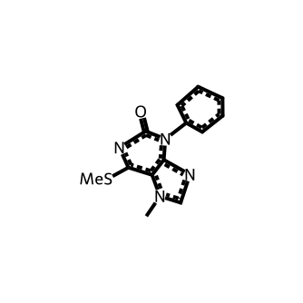 CSc1nc(=O)n(-c2ccccc2)c2ncn(C)c12